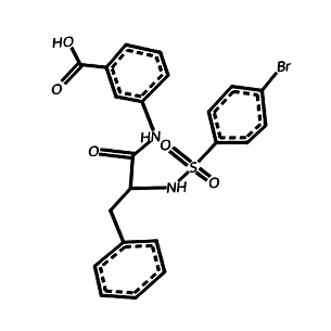 O=C(O)c1cccc(NC(=O)C(Cc2ccccc2)NS(=O)(=O)c2ccc(Br)cc2)c1